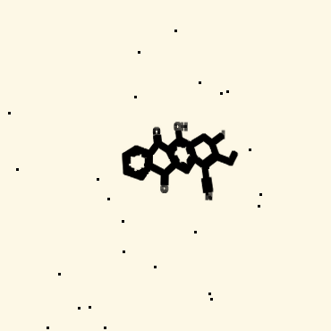 CCC1=C(C#N)c2cc3c(c(O)c2CC1I)C(=O)c1ccccc1C3=O